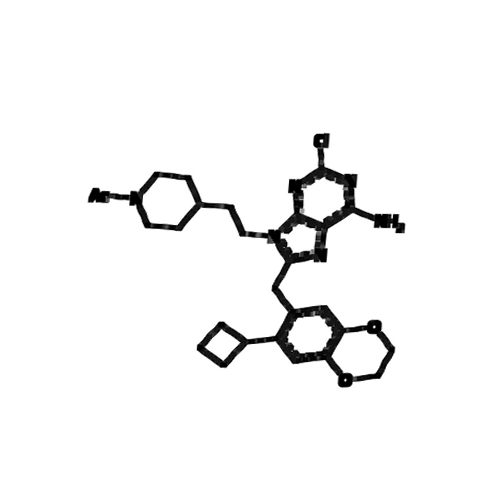 CC(=O)N1CCC(CCn2c(Cc3cc4c(cc3C3CCC3)OCCO4)nc3c(N)nc(Cl)nc32)CC1